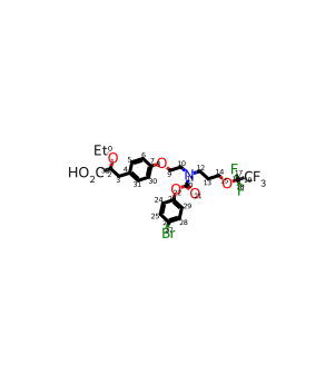 CCOC(Cc1ccc(OCCN(CCCOC(F)(F)C(F)(F)F)C(=O)Oc2ccc(Br)cc2)cc1)C(=O)O